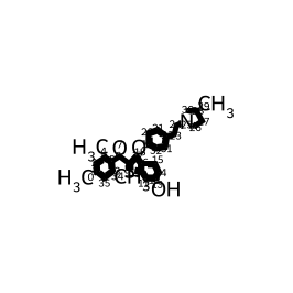 Cc1cc(C)c(C(=O)c2sc3cc(O)ccc3c2Oc2ccc(CCN3CC[C@@H](C)C3)cc2)c(C)c1